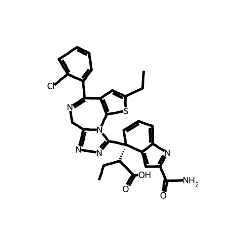 CCc1cc2c(s1)-n1c(nnc1[C@@]1(C(CC)C(=O)O)C=CC=C3N=C(C(N)=O)C=C31)CN=C2c1ccccc1Cl